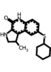 CC1CNc2c1c1cc(SC3CCCCC3)ccc1[nH]c2=O